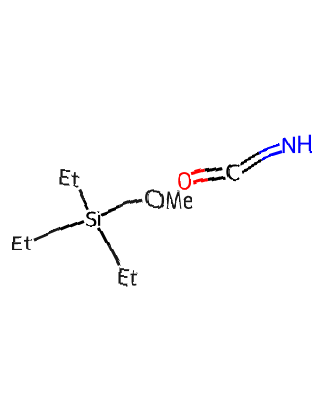 CC[Si](CC)(CC)OC.N=C=O